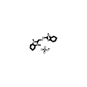 CN1C(=C/N=N/c2sc3ccccc3[n+]2C)N(C)c2ccccc21.COS(=O)(=O)[O-]